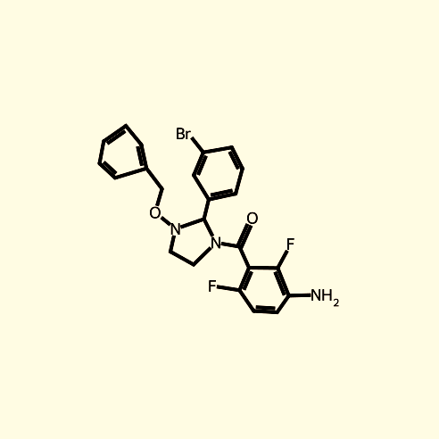 Nc1ccc(F)c(C(=O)N2CCN(OCc3ccccc3)C2c2cccc(Br)c2)c1F